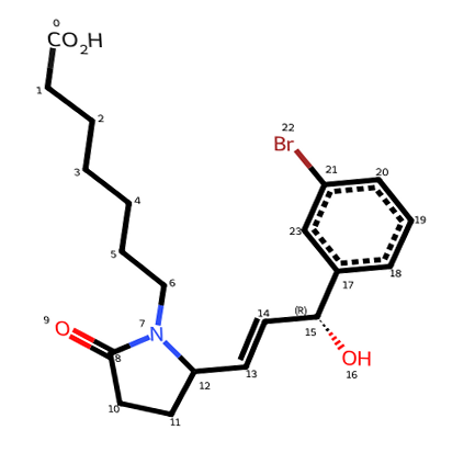 O=C(O)CCCCCCN1C(=O)CCC1C=C[C@@H](O)c1cccc(Br)c1